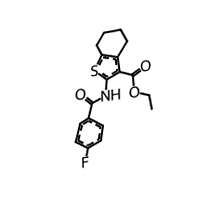 CCOC(=O)c1c(NC(=O)c2ccc(F)cc2)sc2c1CCCC2